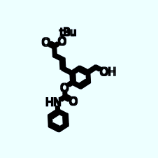 CC(C)(C)OC(=O)CC=Cc1cc(CO)ccc1OC(=O)Nc1ccccc1